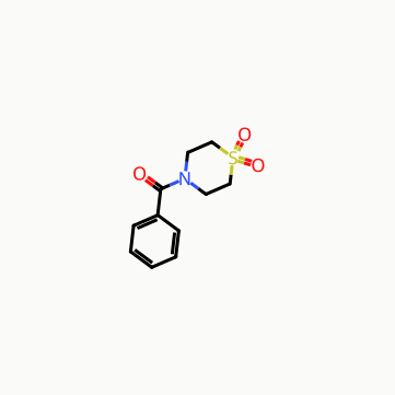 O=C(c1ccccc1)N1CCS(=O)(=O)CC1